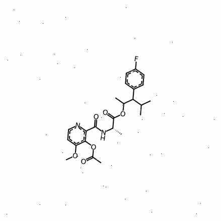 COc1ccnc(C(=O)N[C@@H](C)C(=O)OC(C)C(c2ccc(F)cc2)C(C)C)c1OC(C)=O